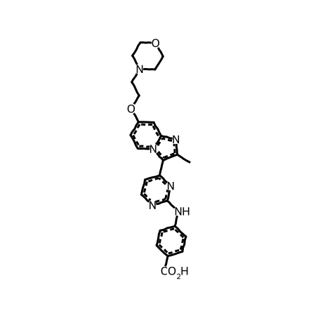 Cc1nc2cc(OCCN3CCOCC3)ccn2c1-c1ccnc(Nc2ccc(C(=O)O)cc2)n1